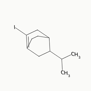 CC(C)C1CC2=C(I)CC1CC2